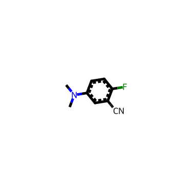 CN(C)c1ccc(F)c(C#N)c1